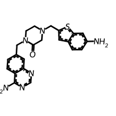 Nc1ccc2cc(CN3CCN(Cc4ccc5c(N)ncnc5c4)C(=O)C3)sc2c1